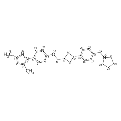 Cc1cc(C)n(-c2ccc(OC[C@H]3C[C@@H](c4ccc(CN5CCCC5)cc4)C3)nn2)n1